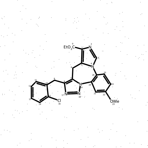 CCOC(=O)c1ncn2c1Cc1c(Cc3ccccc3Cl)nnn1-c1cc(OC)ccc1-2